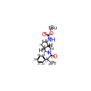 CC(C)C(C(=O)N1C[C@H]2CC[C@H](NC(=O)OC(C)(C)C)[C@H]2C1)c1ccccc1